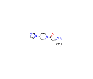 N[C@@H](CC(=O)N1CCC(n2ccnc2)CC1)C(=O)O